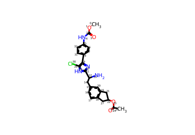 COC(=O)Nc1ccc(-c2nc(C(N)Cc3ccc4c(c3)CC(OC(C)=O)C4)[nH]c2Cl)cc1